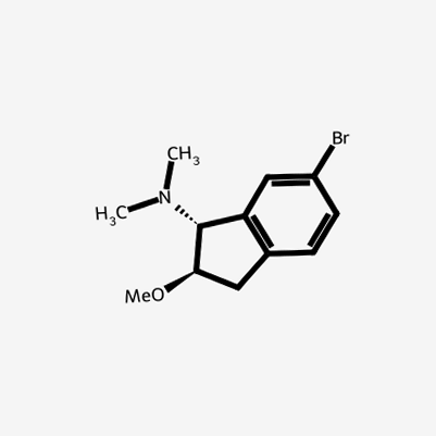 CO[C@@H]1Cc2ccc(Br)cc2[C@H]1N(C)C